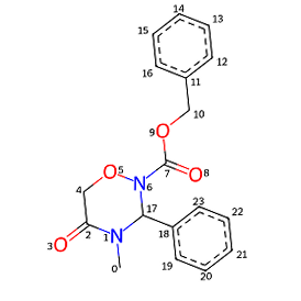 CN1C(=O)CON(C(=O)OCc2ccccc2)C1c1ccccc1